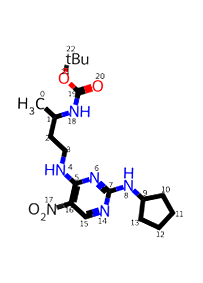 CC(CCNc1nc(NC2CCCC2)ncc1[N+](=O)[O-])NC(=O)OC(C)(C)C